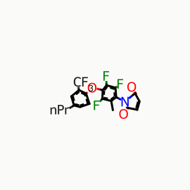 CCCc1ccc(Oc2c(F)c(C)c(N3C(=O)C=CC3=O)c(F)c2F)c(C(F)(F)F)c1